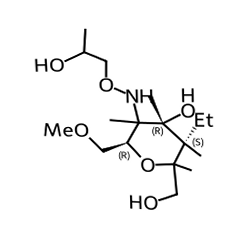 CC[C@]1(C)C(C)(CO)O[C@@H](COC)C(C)(NOCC(C)O)[C@]1(C)O